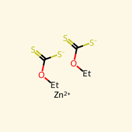 CCOC(=S)[S-].CCOC(=S)[S-].[Zn+2]